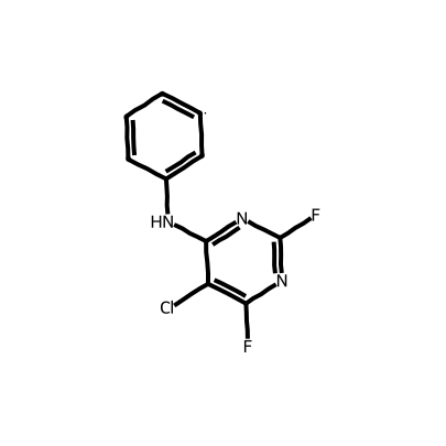 Fc1nc(F)c(Cl)c(Nc2c[c]ccc2)n1